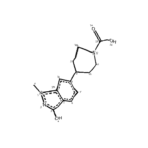 Cn1nc(O)c2ccc(C3CCN(C(=O)O)CC3)cc21